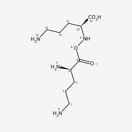 NCCC[C@@H](N)C(=O)ON[C@@H](CCCN)C(=O)O